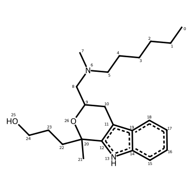 CCCCCCN(C)CC1Cc2c([nH]c3ccccc23)C(C)(CCCO)O1